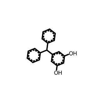 Oc1cc(O)cc(C(c2ccccc2)c2ccccc2)c1